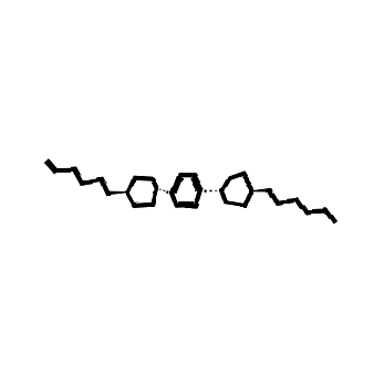 CCCCCC[C@H]1CC[C@H](c2ccc([C@H]3CC[C@H](CCCCCC)CC3)cc2)CC1